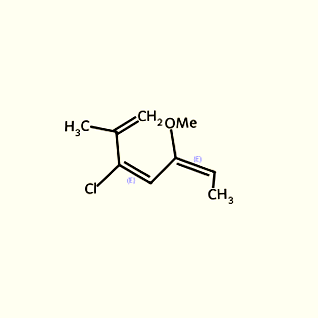 C=C(C)/C(Cl)=C\C(=C/C)OC